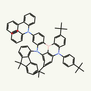 CC(C)(C)c1ccc(N2c3ccc(C(C)(C)C)cc3B3c4ccc(N(c5ccccc5)c5ccccc5-c5ccccc5)cc4N4c5cc(cc2c53)C(C)(C)c2ccc3c(c2)C(C)(C)c2cccc4c2-3)cc1